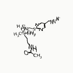 CC(=O)NCCC[Si](C)(C)O[Si](C)(C)CSc1ncc(CN=[N+]=[N-])cn1